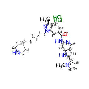 Cc1nn(CCCCCCC2CCNCC2)c2cc(C(=O)Nc3cc4[nH]c([C@H]5CCCN5C)cc4cn3)ccc12.Cl.Cl